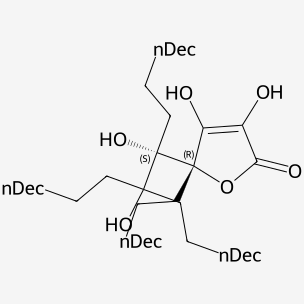 CCCCCCCCCCCCC(O)(CCCCCCCCCCCC)[C@@](O)(CCCCCCCCCCCC)[C@@]1(CCCCCCCCCCCC)OC(=O)C(O)=C1O